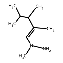 C/C(=C\N(C)N)C(C)C(C)C